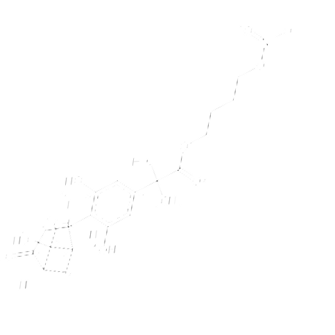 CC(C)(C(=O)OCCCCO[N+](=O)[O-])c1cc(O)c([C@@H]2CC(=O)[C@@H]3C[C@H]2C3(C)C)c(O)c1